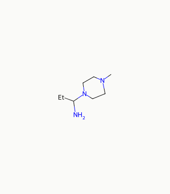 CCC(N)N1CCN(C)CC1